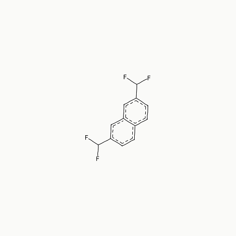 FC(F)c1ccc2ccc(C(F)F)cc2c1